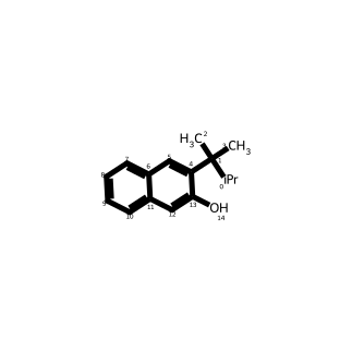 CC(C)C(C)(C)c1cc2ccccc2cc1O